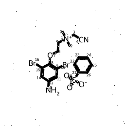 C[N+](C)(CC#N)CCOc1c(Br)cc(N)cc1Br.O=S(=O)([O-])c1ccccc1